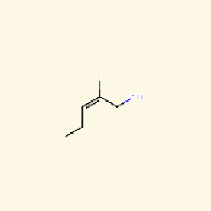 CC/C=C(/F)CN